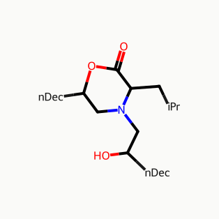 CCCCCCCCCCC(O)CN1CC(CCCCCCCCCC)OC(=O)C1CC(C)C